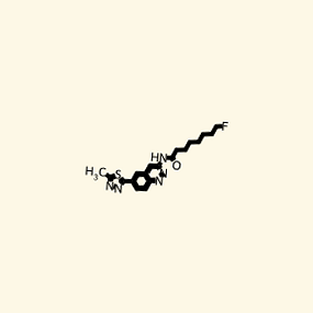 Cc1nnc(-c2ccc3nnc(NC(=O)CCCCCCCF)cc3c2)s1